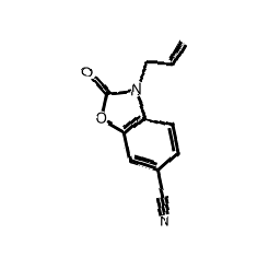 C=CCn1c(=O)oc2cc(C#N)ccc21